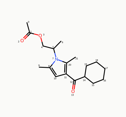 CC(=O)OCC(C)n1c(C)cc(C(=O)C2CCCCC2)c1C